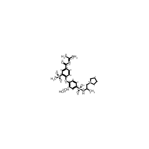 CC(CN1CCCC1)NS(=O)(=O)c1ccc(Oc2ccc(C(=O)N=C(N)N)cc2S(C)(=O)=O)cc1.Cl.Cl